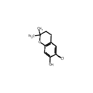 CC1(C)CCc2cc(Cl)c(O)cc2O1